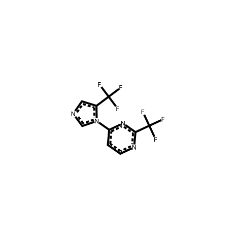 FC(F)(F)c1nccc(-n2cncc2C(F)(F)F)n1